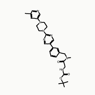 Cc1cncc(N2CCN(c3ncc(-c4cccc(CN(C)C(=O)CNC(=O)OC(C)(C)C)c4)cn3)CC2)c1